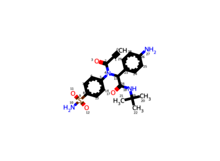 C#CC(=O)N(c1ccc(S(N)(=O)=O)cc1)C(C(=O)NC(C)(C)C)c1ccc(N)cc1